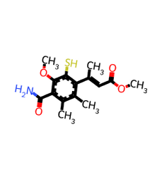 COC(=O)C=C(C)c1c(C)c(C)c(C(N)=O)c(OC)c1S